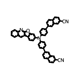 N#Cc1ccc2ccc(-c3ccc(N(c4ccc(-c5ccc6ccc(C#N)cc6c5)cc4)c4ccc5c(c4)oc4nc6ccccc6cc45)cc3)cc2c1